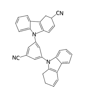 N#Cc1cc(-n2c3c(c4ccccc42)CC(C#N)C=C3)cc(-n2c3c(c4ccccc42)C=CCC3)c1